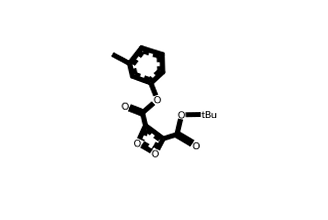 Cc1cccc(OC(=O)c2ooc2C(=O)OC(C)(C)C)c1